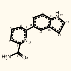 NC(=O)c1cccc(-c2ccc3[nH]ccc3c2)n1